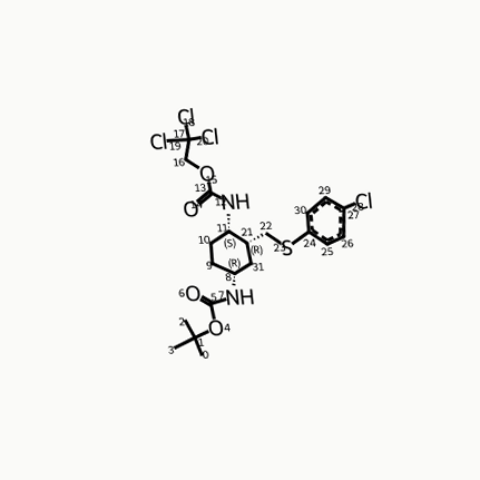 CC(C)(C)OC(=O)N[C@@H]1CC[C@H](NC(=O)OCC(Cl)(Cl)Cl)[C@H](CSc2ccc(Cl)cc2)C1